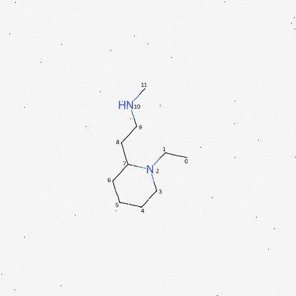 CCN1CCCCC1CCNC